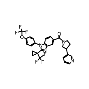 O=C(c1ccc2c(c1)nc(C1(C(F)(F)F)CC1)n2-c1ccc(OC(F)(F)F)cc1)N1CCC(c2cccnc2)C1